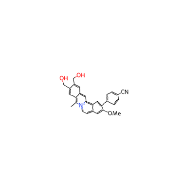 COc1cc2cc[n+]3c(C)c4cc(CO)c(CO)cc4cc3c2cc1-c1ccc(C#N)cc1